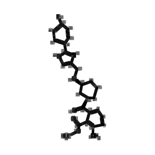 COC(=O)c1c(C)cccc1C(=O)[C@@H]1CCC[C@H](OCc2coc(-c3ccc(F)cc3)n2)C1